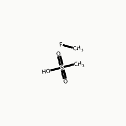 CF.CS(=O)(=O)O